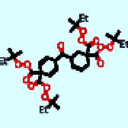 CCC(C)(C)OOC(=O)C1(C(=O)OOC(C)(C)CC)C=CC(C(=O)C2C=CCC(C(=O)OOC(C)(C)CC)(C(=O)OOC(C)(C)CC)C2)C=C1